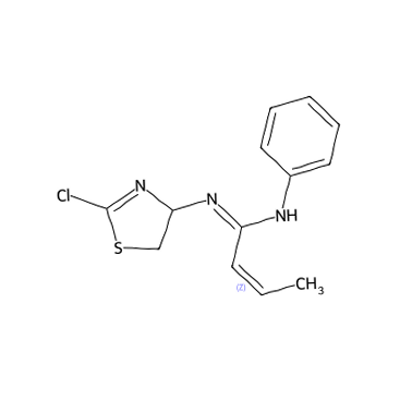 C/C=C\C(=NC1CSC(Cl)=N1)Nc1ccccc1